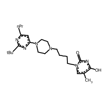 CCCc1cc(N2CCN(CCCCn3cc(C)c(O)nc3=O)CC2)nc(C(C)(C)C)n1